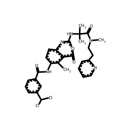 Cc1c(NC(=O)c2cccc(C(Cl)Cl)c2)ccc2nc(NC(C)(C)C(=O)N(C)CCc3ccccn3)oc(=O)c12